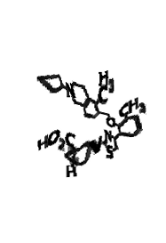 Cc1cccc(-c2csc(N3C[C@@H]4C[C@]4(C(=O)O)C3)n2)c1OCc1ccc2c(c1C)CCN(C1CCC1)C2